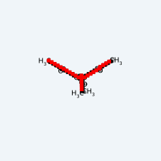 CCCCCCCCCC(=O)OCCCCCCCCOc1ccc(OCCCCCCCCOC(=O)CCCCCCCCC)c(COC(=O)CCCN(C)C)c1